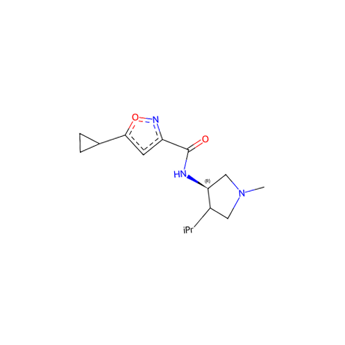 CC(C)C1CN(C)C[C@@H]1NC(=O)c1cc(C2CC2)on1